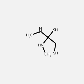 CNC(S)(CS)NC